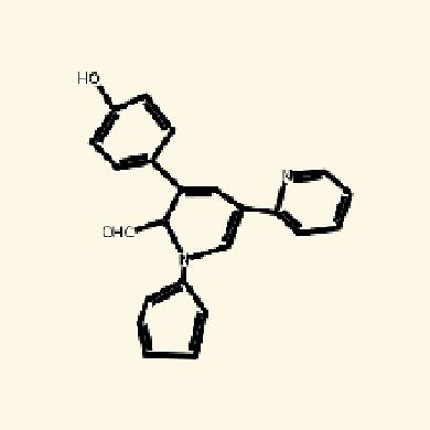 O=CC1C(c2ccc(O)cc2)=CC(c2ccccn2)=CN1c1ccccc1